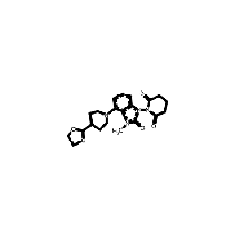 Cn1c(=O)n(N2C(=O)CCCC2=O)c2cccc(N3CCC(C4OCCO4)CC3)c21